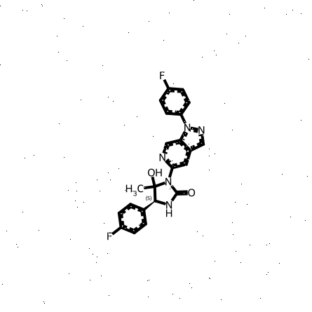 CC1(O)[C@H](c2ccc(F)cc2)NC(=O)N1c1cc2cnn(-c3ccc(F)cc3)c2cn1